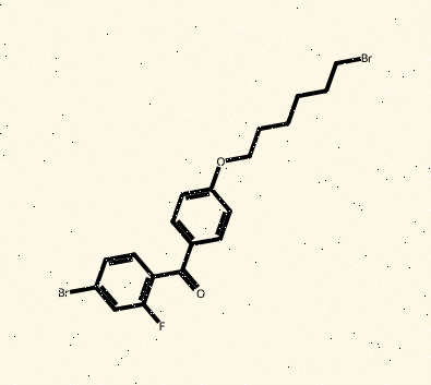 O=C(c1ccc(OCCCCCCBr)cc1)c1ccc(Br)cc1F